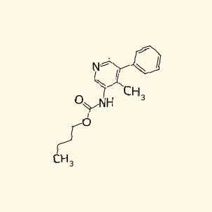 CCCCOC(=O)Nc1cn[c]c(-c2ccccc2)c1C